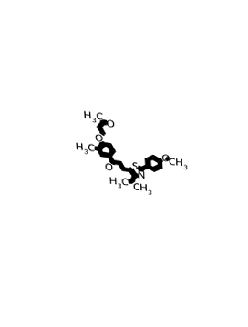 COc1ccc(-c2nc(C(C)C)c(CCC(=O)c3ccc(OCCC(C)=O)c(C)c3)s2)cc1